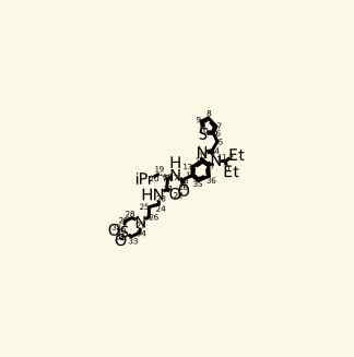 CCC(CC)n1c(Cc2cccs2)nc2cc(C(=O)N[C@@H](CC(C)C)C(=O)NCCCN3CCS(=O)(=O)CC3)ccc21